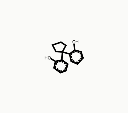 Oc1ccccc1C1(c2ccccc2O)CCCC1